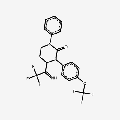 N=C(C1SCN(c2ccccc2)C(=O)N1c1ccc(OC(F)(F)F)cc1)C(F)(F)F